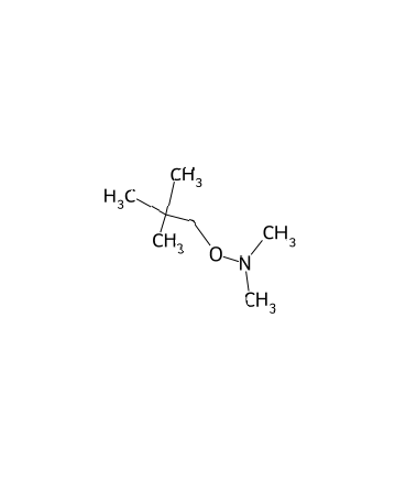 CN(C)OCC(C)(C)C